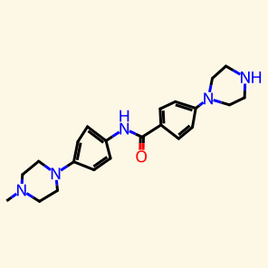 CN1CCN(c2ccc(NC(=O)c3ccc(N4CCNCC4)cc3)cc2)CC1